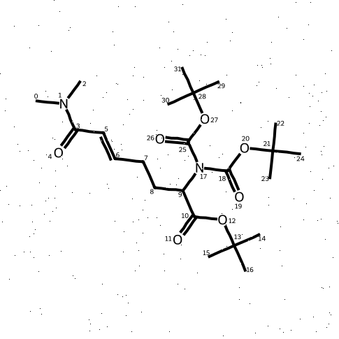 CN(C)C(=O)/C=C/CCC(C(=O)OC(C)(C)C)N(C(=O)OC(C)(C)C)C(=O)OC(C)(C)C